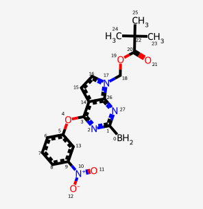 Bc1nc(Oc2cccc([N+](=O)[O-])c2)c2ccn(COC(=O)C(C)(C)C)c2n1